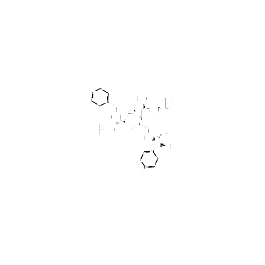 Cc1ccc(S(=O)(=O)OCC2CC(OCc3ccccc3)(C(F)(F)F)CN2C(=O)OC(C)(C)C)cc1